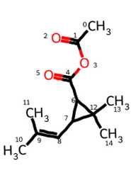 CC(=O)OC(=O)C1C(C=C(C)C)C1(C)C